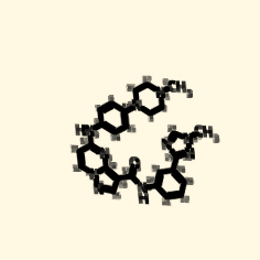 CN1CCN(c2ccc(Nc3ccn4ncc(C(=O)Nc5cccc(-c6ncn(C)n6)c5)c4n3)cc2)CC1